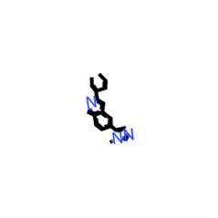 C/C=C\C(=C/C)c1cc2cc(-c3cncn3C)ccc2cn1